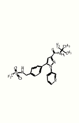 CC(C)(C)NC(=O)c1cc(-c2ccc(CNS(C)(=O)=O)cc2)n(-c2cccnc2)n1